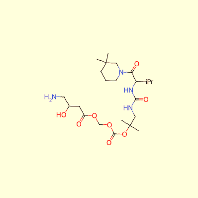 CC(C)C(NC(=O)NCC(C)(C)OC(=O)OCOC(=O)CC(O)CN)C(=O)N1CCCC(C)(C)C1